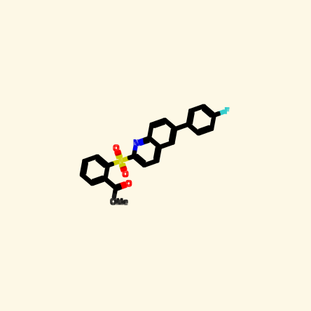 COC(=O)c1ccccc1S(=O)(=O)c1ccc2cc(-c3ccc(F)cc3)ccc2n1